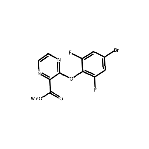 COC(=O)c1nccnc1Oc1c(F)cc(Br)cc1F